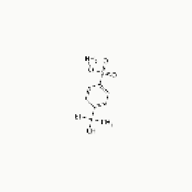 CCC(C)(C)c1ccc(S(=O)(=O)ON)cc1